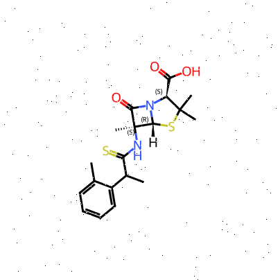 Cc1ccccc1C(C)C(=S)N[C@@]1(C)C(=O)N2[C@@H](C(=O)O)C(C)(C)S[C@@H]21